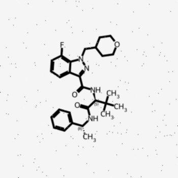 C[C@@H](NC(=O)[C@@H](NC(=O)c1nn(CC2CCOCC2)c2c(F)cccc12)C(C)(C)C)c1ccccc1